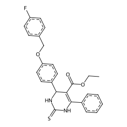 CCOC(=O)C1=C(c2ccccc2)NC(=S)NC1c1ccc(OCc2ccc(F)cc2)cc1